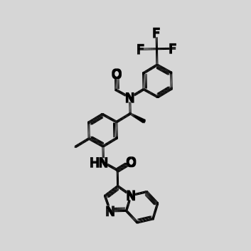 Cc1ccc([C@H](C)N(C=O)c2cccc(C(F)(F)F)c2)cc1NC(=O)c1cnc2ccccn12